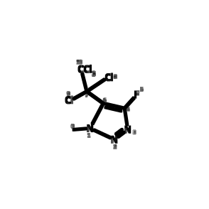 Cn1nnc(F)c1C(Cl)(Cl)C(Cl)(Cl)Cl